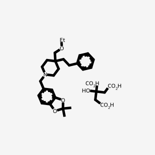 CCOCC1(CCc2ccccc2)CCN(Cc2ccc3c(c2)OC(C)(C)O3)CC1.O=C(O)CC(O)(CC(=O)O)C(=O)O